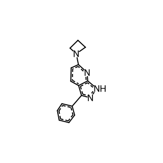 c1ccc(-c2n[nH]c3nc(N4CCC4)ccc23)cc1